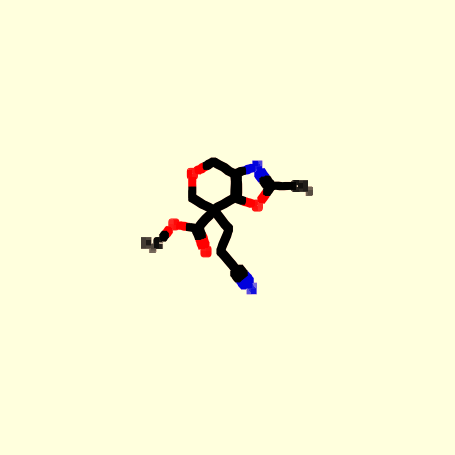 COC(=O)C1(CCC#N)COCc2nc(C)oc21